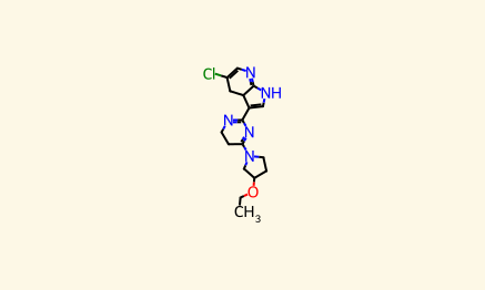 CCOC1CCN(C2=NC(C3=CNC4=NC=C(Cl)CC34)=NCC2)C1